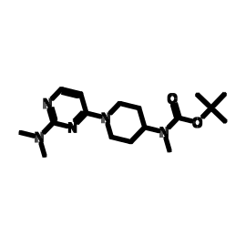 CN(C)c1nccc(N2CCC(N(C)C(=O)OC(C)(C)C)CC2)n1